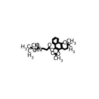 CC(=O)Oc1c2c(c3ccccc3c1OC(=O)CCNC(=O)OC(C)(C)C)OC(C)(C)CC2